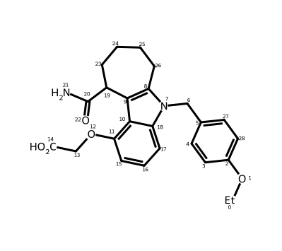 CCOc1ccc(Cn2c3c(c4c(OCC(=O)O)cccc42)C(C(N)=O)CCCC3)cc1